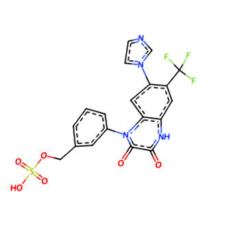 O=c1[nH]c2cc(C(F)(F)F)c(-n3ccnc3)cc2n(-c2cccc(COS(=O)(=O)O)c2)c1=O